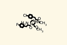 CNC(=O)C(Cc1ccc(Cl)cc1)N1CCN(C(=O)C(N)Cc2ccc(F)cc2)C(COC)C1